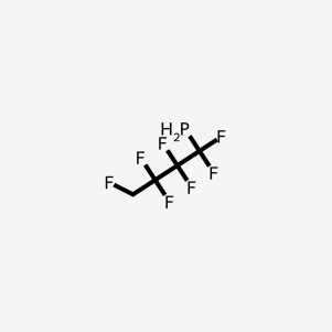 FCC(F)(F)C(F)(F)C(F)(F)P